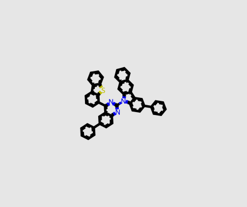 c1ccc(-c2ccc3nc(-n4c5ccc(-c6ccccc6)cc5c5cc6ccccc6cc54)nc(-c4cccc5c4sc4ccccc45)c3c2)cc1